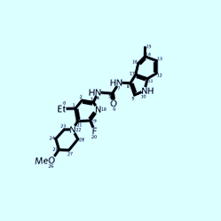 CCc1cc(NC(=O)Nc2c[nH]c3ccc(C)cc23)nc(F)c1N1CCC(OC)CC1